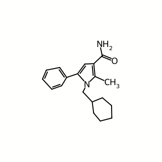 Cc1c(C(N)=O)cc(-c2ccccc2)n1CC1CCCCC1